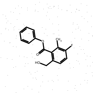 Cc1c(F)ccc(CO)c1C(=O)Oc1ccccc1